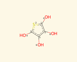 Oc1sc(O)c(O)c1O